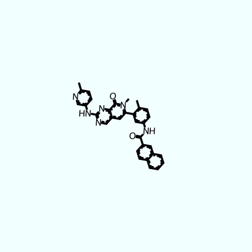 Cc1ccc(Nc2ncc3cc(-c4cc(NC(=O)c5ccc6ccccc6c5)ccc4C)n(C)c(=O)c3n2)cn1